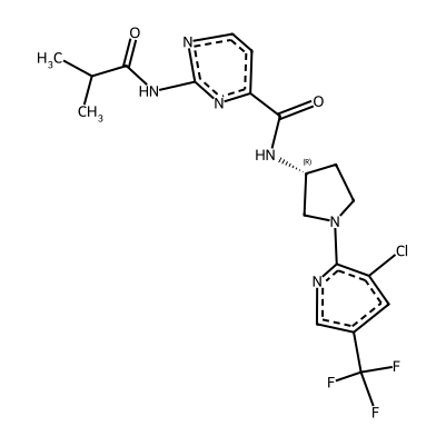 CC(C)C(=O)Nc1nccc(C(=O)N[C@@H]2CCN(c3ncc(C(F)(F)F)cc3Cl)C2)n1